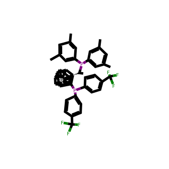 Cc1cc(C)cc(P(c2cc(C)cc(C)c2)C(C)[C@]23[CH]4[CH]5[CH]6[C]2(P(c2ccc(C(F)(F)F)cc2)c2ccc(C(F)(F)F)cc2)[Fe]56432789[CH]3[CH]2[CH]7[CH]8[CH]39)c1